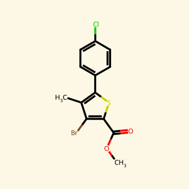 COC(=O)c1sc(-c2ccc(Cl)cc2)c(C)c1Br